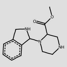 COC(=O)C1CNCCN1[C]1NCc2ccccc21